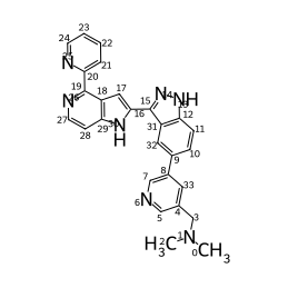 CN(C)Cc1cncc(-c2ccc3[nH]nc(-c4cc5c(-c6ccccn6)nccc5[nH]4)c3c2)c1